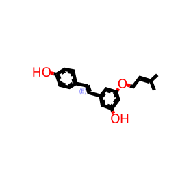 CC(C)=CCOc1cc(O)cc(/C=C/c2ccc(O)cc2)c1